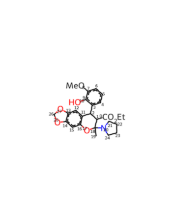 CCOC(=O)C1C(c2cccc(OC)c2O)c2cc3c(cc2OC1(C)N1CCCC1)OCO3